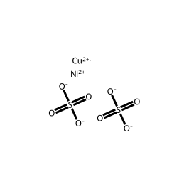 O=S(=O)([O-])[O-].O=S(=O)([O-])[O-].[Cu+2].[Ni+2]